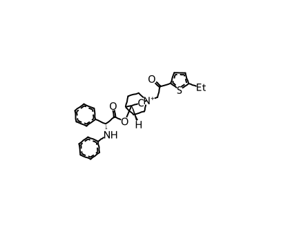 CCc1ccc(C(=O)C[N+]23CCC(CC2)[C@@H](OC(=O)[C@H](Nc2ccccc2)c2ccccc2)C3)s1